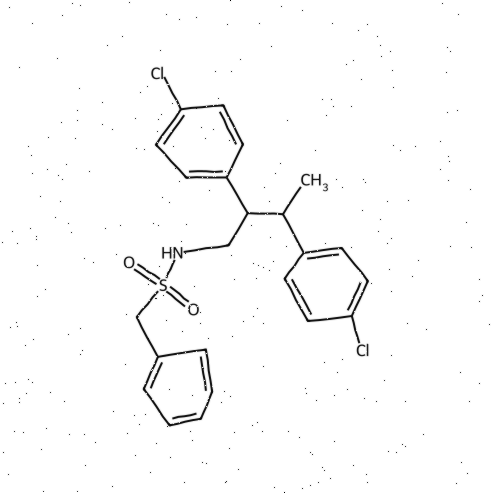 CC(c1ccc(Cl)cc1)C(CNS(=O)(=O)Cc1ccccc1)c1ccc(Cl)cc1